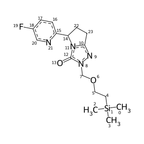 C[Si](C)(C)CCOCn1nc2n(c1=O)C(c1ccc(F)cn1)CC2